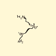 CO[Si](C)(CCCNCCN)OCCCN